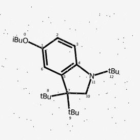 CC(C)COc1ccc2c(c1)C(C(C)(C)C)(C(C)(C)C)CN2C(C)(C)C